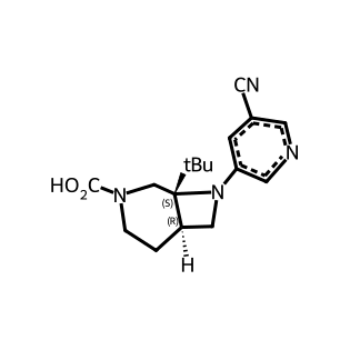 CC(C)(C)[C@]12CN(C(=O)O)CC[C@@H]1CN2c1cncc(C#N)c1